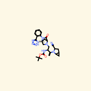 C=C(C(CN1C[C@@H]2CC1C(=O)N2c1ccccc1-c1nnn[nH]1)NC(=O)OC(C)(C)C)N1C(C#N)CC2CC21